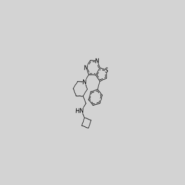 c1ccc(-c2csc3ncnc(N4CCCC(CNC5CCC5)C4)c23)cc1